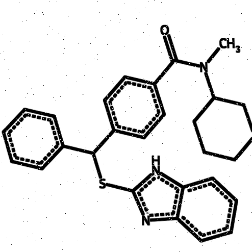 CN(C(=O)c1ccc(C(Sc2nc3ccccc3[nH]2)c2ccccc2)cc1)C1CCCCC1